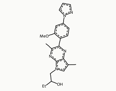 CCC(O)Cn1cc(C)c2nc(-c3ccc(-n4cccn4)cc3OC)c(C)nc21